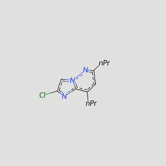 CCCc1cc(CCC)c2nc(Cl)cn2n1